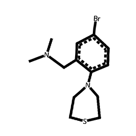 CN(C)Cc1cc(Br)ccc1N1CCSCC1